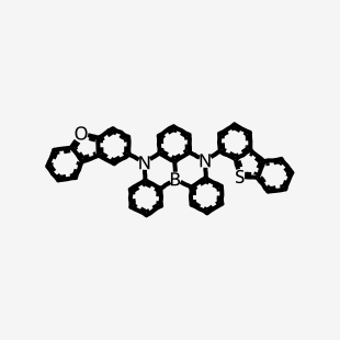 c1ccc2c(c1)B1c3ccccc3N(c3cccc4c3sc3ccccc34)c3cccc(c31)N2c1ccc2oc3ccccc3c2c1